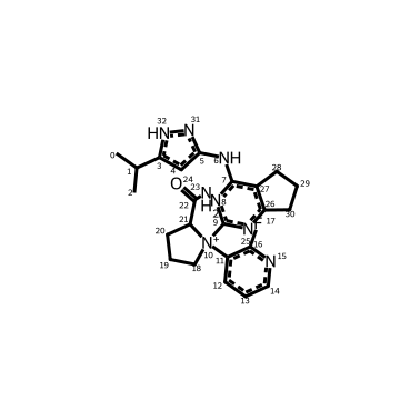 CC(C)c1cc(Nc2nc([N+]3(c4cccnc4F)CCCC3C(N)=O)nc3c2CCC3)n[nH]1